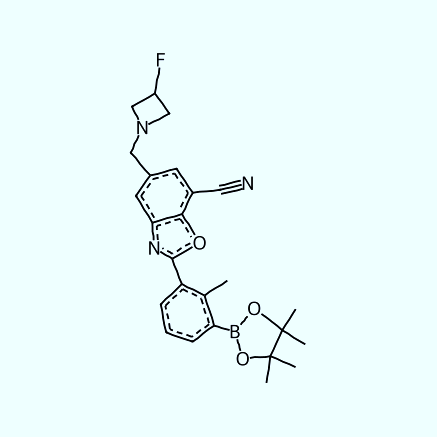 Cc1c(B2OC(C)(C)C(C)(C)O2)cccc1-c1nc2cc(CN3CC(F)C3)cc(C#N)c2o1